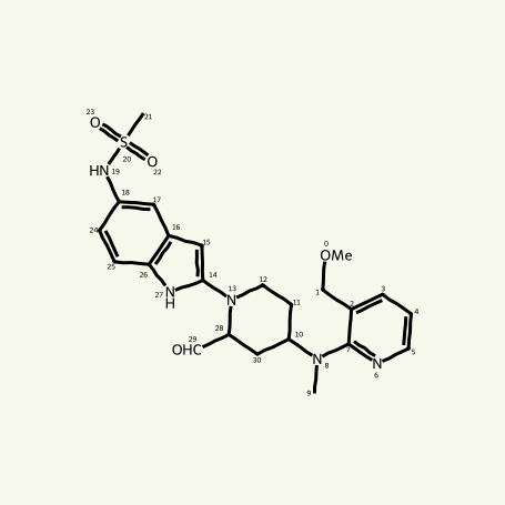 COCc1cccnc1N(C)C1CCN(c2cc3cc(NS(C)(=O)=O)ccc3[nH]2)C(C=O)C1